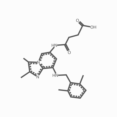 Cc1cccc(C)c1CNc1cc(NC(=O)CCC(=O)O)cn2c(C)c(C)nc12